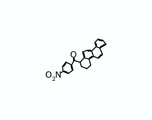 O=C(c1ccc([N+](=O)[O-])cc1)C1CCCc2c1ccc1c2ccc2ccccc21